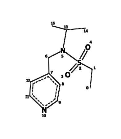 CCS(=O)(=O)N(Cc1ccncc1)C(C)C